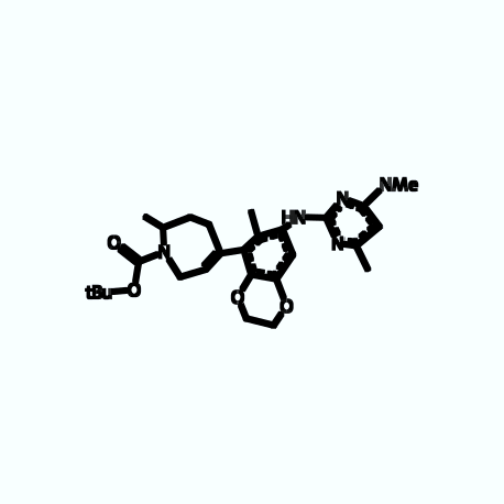 CNc1cc(C)nc(Nc2cc3c(c(C4=CCN(C(=O)OC(C)(C)C)C(C)CC4)c2C)OCCO3)n1